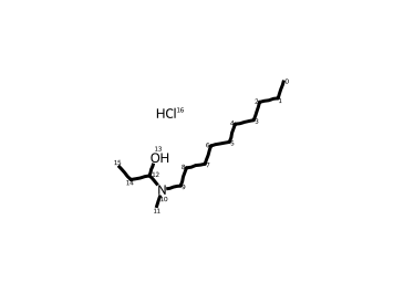 CCCCCCCCCCN(C)C(O)CC.Cl